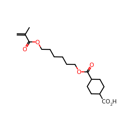 C=C(C)C(=O)OCCCCCCOC(=O)C1CCC(C(=O)O)CC1